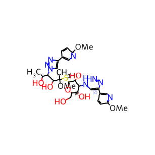 COc1ccc(/C(=C/NC2C(O)C(SC(C)(OC)C(O)C(C(C)O)n3cc(-c4ccc(OC)nc4)nn3)OC(CO)[C@@H]2O)N=N)cn1